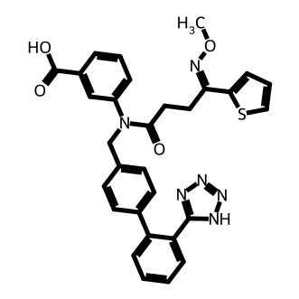 CON=C(CCC(=O)N(Cc1ccc(-c2ccccc2-c2nnn[nH]2)cc1)c1cccc(C(=O)O)c1)c1cccs1